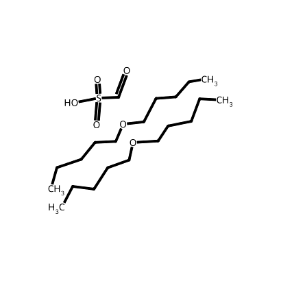 CCCCCOCCCCC.CCCCCOCCCCC.O=CS(=O)(=O)O